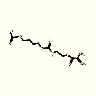 C=C(C)C(=O)OCCNC(=O)OCCCCOC(=O)C(C)CC